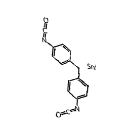 O=C=Nc1ccc(Cc2ccc(N=C=O)cc2)cc1.[Sn]